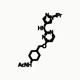 CC(=O)NC1CCC(COc2ccnc(Nc3cnn(C(C)C)c3)n2)CC1